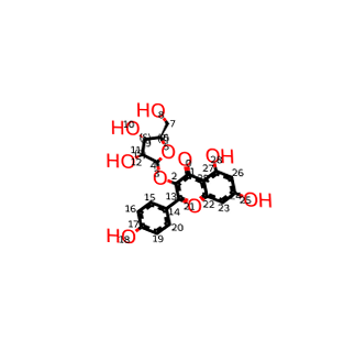 O=c1c(OC2O[C@H](CO)[C@@H](O)[C@@H]2O)c(-c2ccc(O)cc2)oc2cc(O)cc(O)c12